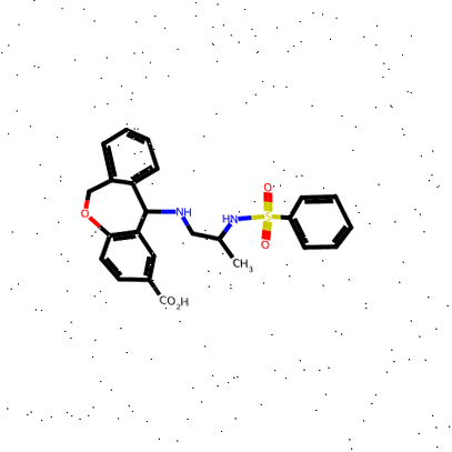 CC(CNC1c2ccccc2COc2ccc(C(=O)O)cc21)NS(=O)(=O)c1ccccc1